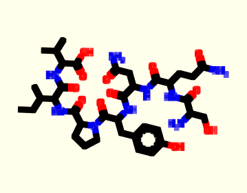 CCC(C)C(NC(=O)C1CCCN1C(=O)C(Cc1ccc(O)cc1)NC(=O)C(CC(N)=O)NC(=O)C(CCC(N)=O)NC(=O)C(N)CO)C(=O)NC(C(=O)O)C(C)C